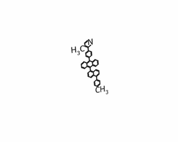 Cc1ccc(-c2cccc3c(-c4c5ccccc5c(-c5ccc(-c6cnccc6C)cc5)c5ccccc45)cccc23)cc1